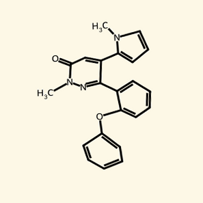 Cn1cccc1-c1cc(=O)n(C)nc1-c1ccccc1Oc1ccccc1